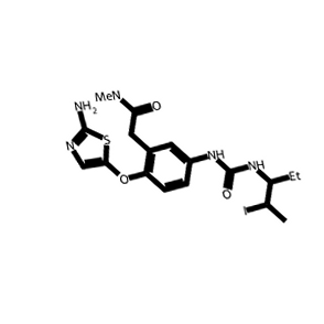 CCC(NC(=O)Nc1ccc(Oc2cnc(N)s2)c(CC(=O)NC)c1)C(C)I